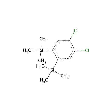 C[Si](C)(C)c1cc(Cl)c(Cl)cc1[Si](C)(C)C